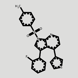 Cc1ccc(S(=O)(=O)n2cc(-c3ccccc3F)c3c(-c4ccsc4)ccnc32)cc1